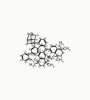 CC1(C)CCC(C)(C)c2cc(N(c3ccc4c(c3)C(C)(C)CCC4(C)C)c3cccc4c3-c3ccc(-c5ccccc5)cc3C43C4CC5CC6CC3C64C5)ccc21